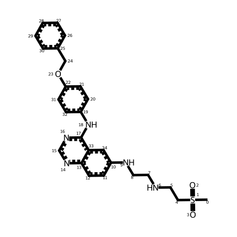 CS(=O)(=O)CCNCCNc1ccc2ncnc(Nc3ccc(OCc4ccccc4)cc3)c2c1